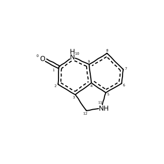 O=c1cc2c3c(cccc3[nH]1)NC2